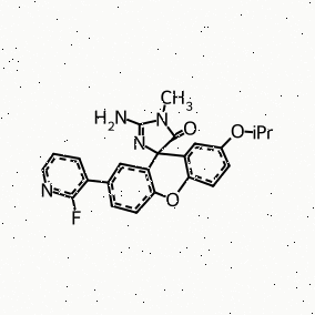 CC(C)Oc1ccc2c(c1)C1(N=C(N)N(C)C1=O)c1cc(-c3cccnc3F)ccc1O2